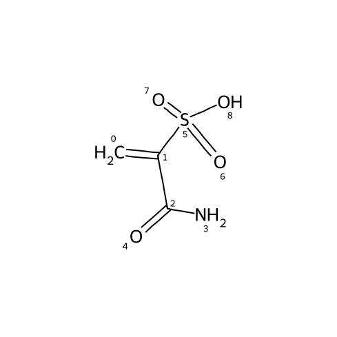 C=C(C(N)=O)S(=O)(=O)O